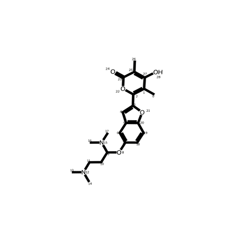 Cc1c(-c2cc3cc(OC(CCN(C)C)N(C)C)ccc3o2)oc(=O)c(C)c1O